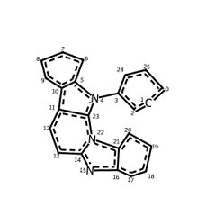 c1ccc(-n2c3ccccc3c3ccc4nc5ccccc5n4c32)cc1